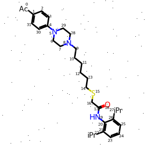 CC(=O)c1ccc(N2CCN(CCCCCCSCC(=O)Nc3c(C(C)C)cccc3C(C)C)CC2)cc1